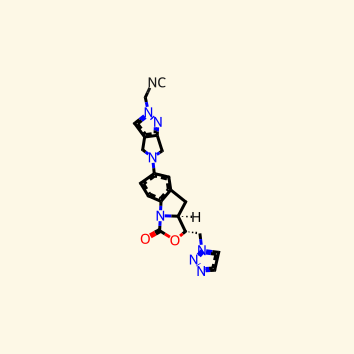 [C-]#[N+]Cn1cc2c(n1)CN(c1ccc3c(c1)C[C@H]1[C@H](Cn4ccnn4)OC(=O)N31)C2